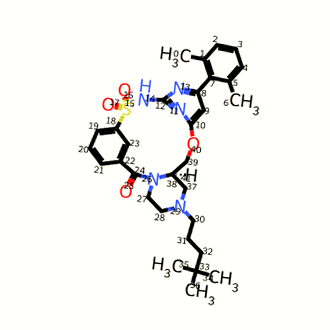 Cc1cccc(C)c1-c1cc2nc(n1)NS(=O)(=O)c1cccc(c1)C(=O)N1CCN(CCCC(C)(C)C)C[C@@H]1CO2